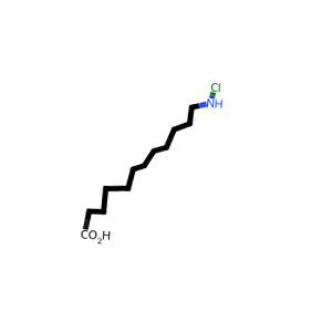 O=C(O)CCCCCCCCCCCNCl